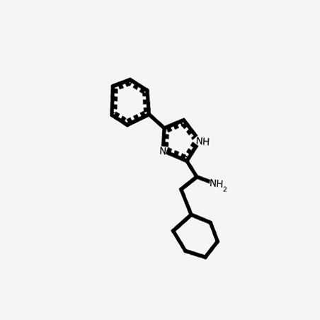 NC(CC1CCCCC1)c1nc(-c2ccccc2)c[nH]1